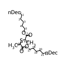 CCCCCCCCCCCCCCCOC(=O)C(C)SC(C)C(=O)OCCCCCCCCCCCCCCC